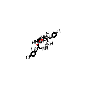 Clc1ccc(CNC23CNCCNCC(NCc4ccc(Cl)cc4)(CNCCNC2)CNCCNC3)cc1